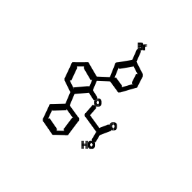 O=C(O)COc1c(-c2ccccc2)cccc1-c1cccc(Br)c1